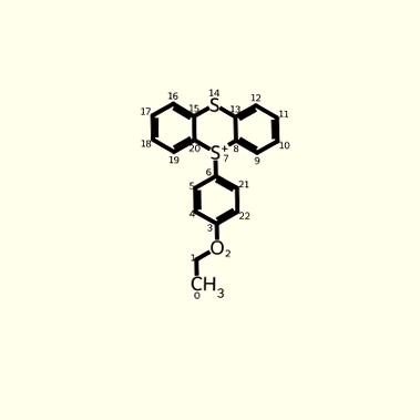 CCOc1ccc([S+]2c3ccccc3Sc3ccccc32)cc1